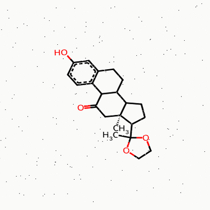 CC1(C2CCC3C4CCc5cc(O)ccc5C4C(=O)C[C@@]32C)OCCO1